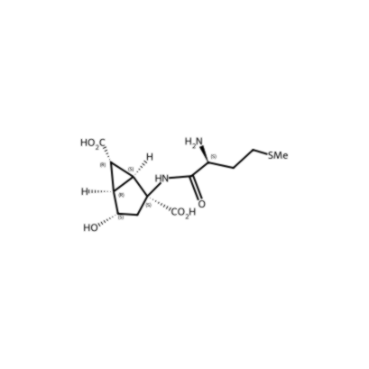 CSCC[C@H](N)C(=O)N[C@@]1(C(=O)O)C[C@H](O)[C@H]2[C@H](C(=O)O)[C@H]21